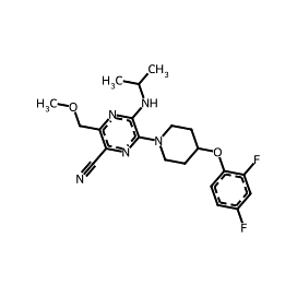 COCc1nc(NC(C)C)c(N2CCC(Oc3ccc(F)cc3F)CC2)nc1C#N